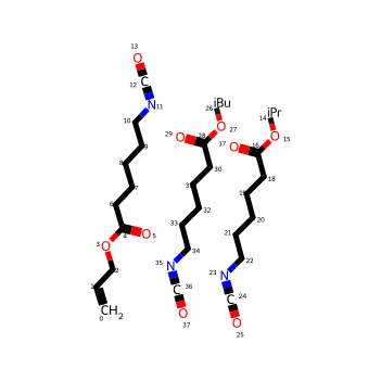 C=CCOC(=O)CCCCCN=C=O.CC(C)OC(=O)CCCCCN=C=O.CCC(C)OC(=O)CCCCCN=C=O